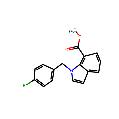 COC(=O)c1cccc2ccn(Cc3ccc(Br)cc3)c12